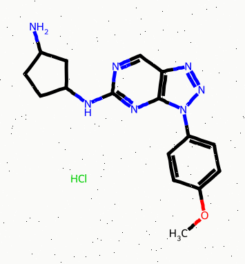 COc1ccc(-n2nnc3cnc(NC4CCC(N)C4)nc32)cc1.Cl